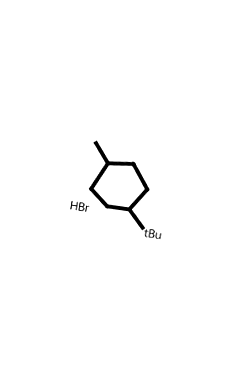 Br.CC1CCC(C(C)(C)C)CC1